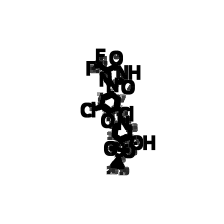 O=c1[nH]c(=O)n(-c2cc(Cl)c(Oc3cc(S(=O)(=O)C4CC4)c(O)cn3)c(Cl)c2)nc1C(F)F